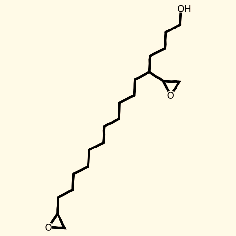 OCCCCC(CCCCCCCCCCCC1CO1)C1CO1